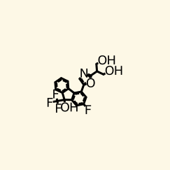 OCC(CO)c1ncc(-c2cc(F)cc3c2-c2ccccc2C3(O)C(F)(F)F)o1